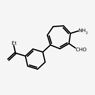 C=C(CC)C1=CC(C2=CCC=C(N)C(C=O)=C2)CC=C1